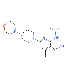 Cc1cc(N2CCC(N3CCOCC3)CC2)nc(NC(C)C)c1C=N